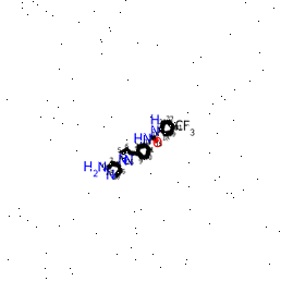 Nc1cc(-n2ccc(-c3cccc(NC(=O)Nc4ccc(C(F)(F)F)cc4)c3)n2)ccn1